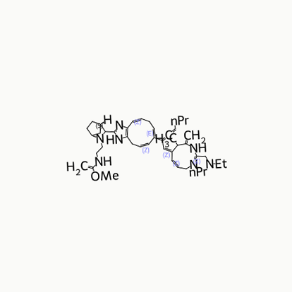 C=C(NCCN1C2CC[C@@H](C2)C1c1nc2c([nH]1)C/C=C\C(C(=C=CCCC)/C=C1/C=C\C/N=C(/CN(CC)CCC)NC(=C)C1C)=C/C/C=C\2)OC